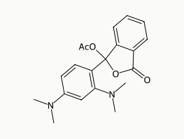 CC(=O)OC1(c2ccc(N(C)C)cc2N(C)C)OC(=O)c2ccccc21